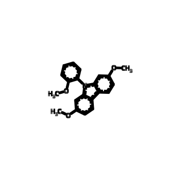 COc1ccc2c3ccc(OC)cc3n(-c3ccccc3OC)c2c1